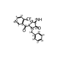 N=C1SC(C(=O)c2cnccc2C(F)(F)F)N(Cc2ccccc2)C1=O